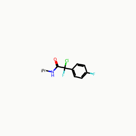 CC(C)NC(=O)C(F)(Cl)c1ccc(F)cc1